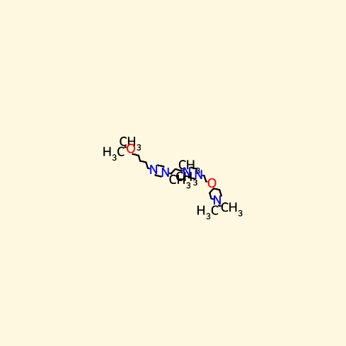 CC(C)OCCCCCN1CCN(C(C)CC(C)(C)N2CCN(CCOC3CCN(C(C)C)CC3)CC2)CC1